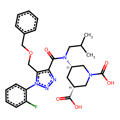 CC(C)CN(C(=O)c1nnn(-c2ccccc2F)c1COCc1ccccc1)[C@H]1C[C@@H](C(=O)O)CN(C(=O)O)C1